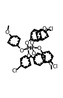 COc1ccc(O[PH](Oc2ccc(OC)cc2)(Oc2ccc(OC)cc2)[PH](Oc2ccc(Cl)cc2)(Oc2ccc(Cl)cc2)Oc2ccc(Cl)cc2)cc1